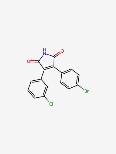 O=C1NC(=O)C(c2cccc(Cl)c2)=C1c1ccc(Br)cc1